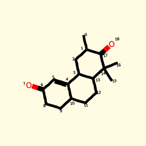 CC1CC2C3=CC(=O)CCC3CCC2C(C)(C)C1=O